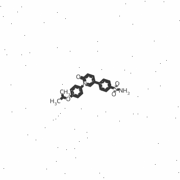 CC(C)Oc1ccc(-n2cc(-c3ccc(S(N)(=O)=O)cc3)ccc2=O)cc1